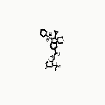 O=C(NCc1ncc(F)cc1C(F)(F)F)c1ccc2c(c1)C1(CCSCC1)C(C1CC1)N2S(=O)(=O)C1CCCCC1